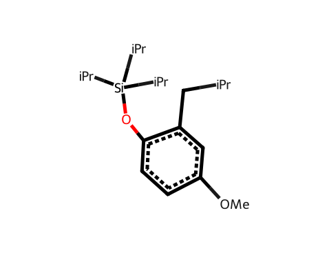 COc1ccc(O[Si](C(C)C)(C(C)C)C(C)C)c(CC(C)C)c1